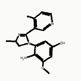 COc1cc(O)cc(N2CC(C)N=C2c2cnccc2C)c1N